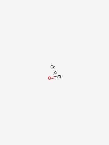 [Ce].[O]=[Ti].[Zr]